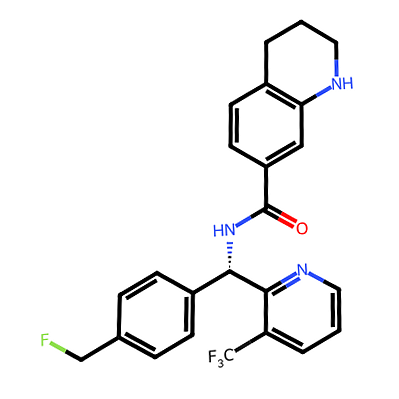 O=C(N[C@@H](c1ccc(CF)cc1)c1ncccc1C(F)(F)F)c1ccc2c(c1)NCCC2